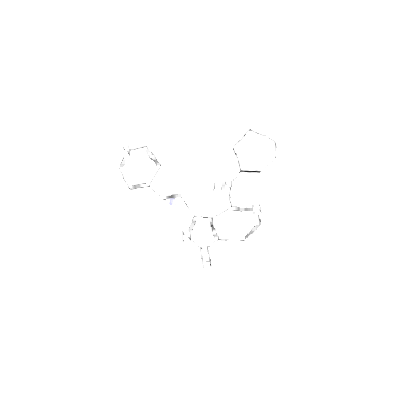 C(=C\c1n[nH]c2ccnc(NC3CCCCC3)c12)/c1ccncc1